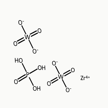 O=P(O)(O)O.[O]=[W](=[O])([O-])[O-].[O]=[W](=[O])([O-])[O-].[Zr+4]